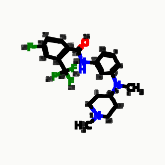 CN1CCC(N(C)c2cccc(NC(=O)c3ccc(F)cc3C(F)(F)F)c2)CC1